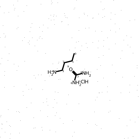 CCCCN.Cl.NC(N)=O